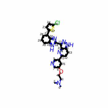 CN(C)CCOc1cncc(-c2ccc3[nH]nc(-c4nc5c(-c6ccc(Cl)s6)cccc5[nH]4)c3n2)c1